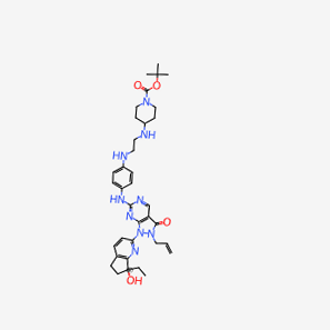 C=CCn1c(=O)c2cnc(Nc3ccc(NCCNC4CCN(C(=O)OC(C)(C)C)CC4)cc3)nc2n1-c1ccc2c(n1)[C@](O)(CC)CC2